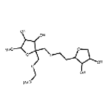 COCOCC1(COCCC2OCC(O)C2O)OC(OC)C(O)C1O